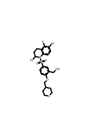 CCc1ccc2c(c1F)CCC(CC)N2S(=O)(=O)c1ccc(OCC2CCOCC2)c(CO)c1